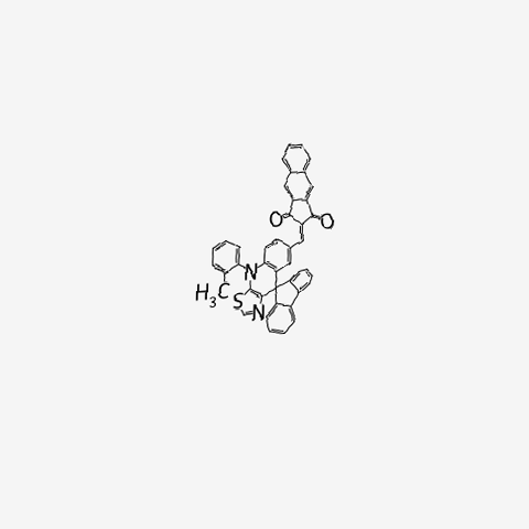 Cc1ccccc1N1c2ccc(C=C3C(=O)c4cc5ccccc5cc4C3=O)cc2C2(c3ccccc3-c3ccccc32)c2ncsc21